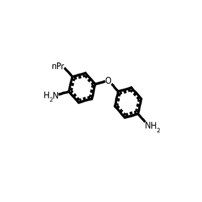 CCCc1cc(Oc2ccc(N)cc2)ccc1N